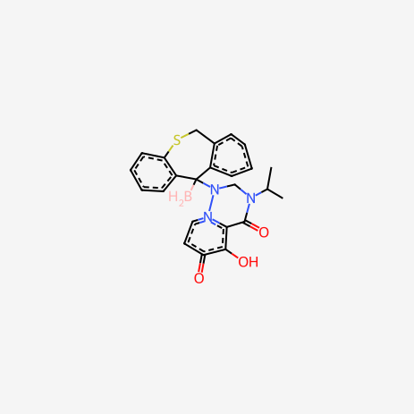 BC1(N2CN(C(C)C)C(=O)c3c(O)c(=O)ccn32)c2ccccc2CSc2ccccc21